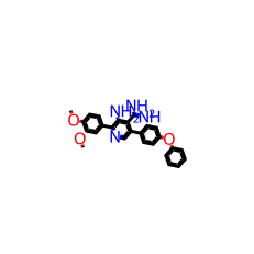 COc1ccc(-c2ncc(-c3ccc(Oc4ccccc4)cc3)c(C(=N)N)c2N)cc1OC